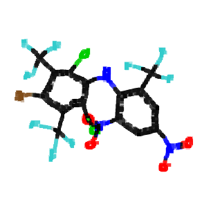 O=[N+]([O-])c1cc([N+](=O)[O-])c(Nc2c(Cl)c(C(F)(F)F)c(Br)c(C(F)(F)F)c2Cl)c(C(F)(F)F)c1